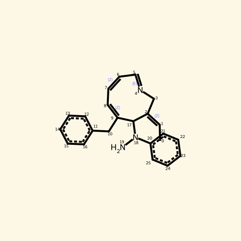 C/C=C1/C/N=C/C=C\C=C(\Cc2ccccc2)C1N(N)c1ccccc1